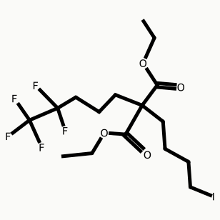 CCOC(=O)C(CCCCI)(CCCC(F)(F)C(F)(F)F)C(=O)OCC